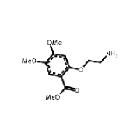 COC(=O)c1cc(OC)c(OC)cc1OCCN